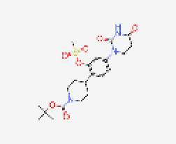 CC(C)(C)OC(=O)N1CCC(c2ccc(N3CCC(=O)NC3=O)cc2OS(C)(=O)=O)CC1